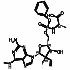 C=C[C@@]1(F)[C@H](O)[C@@H](COP(=O)(N[C@@H](C)C(=O)O)Oc2ccccc2)O[C@H]1n1cnc2c(NC)nc(N)nc21